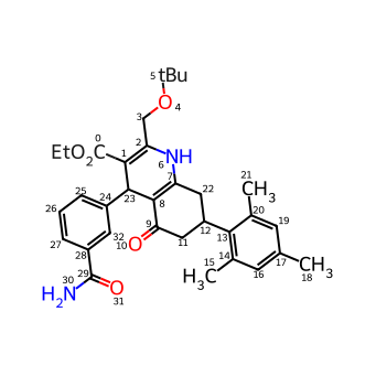 CCOC(=O)C1=C(COC(C)(C)C)NC2=C(C(=O)CC(c3c(C)cc(C)cc3C)C2)C1c1cccc(C(N)=O)c1